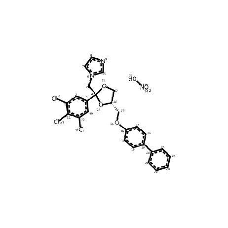 Clc1cc([C@]2(Cn3ccnc3)OC[C@H](COc3ccc(-c4ccccc4)cc3)O2)cc(Cl)c1Cl.O=[N+]([O-])O